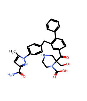 Cc1cc(C(N)=O)nn1-c1ccc(Cc2cc(C(=O)C3(CO)CNCCN3C(=O)O)ccc2-c2ccccc2)cc1